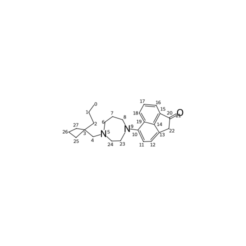 CCCC1(CN2CCCN(c3ccc4c5c(cccc35)C(=O)C4)CC2)CCC1